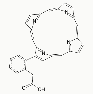 O=C(O)Cc1ccccc1C1=CC2=CC3=NC(=CC4=NC(=CC5=NC(=CC1=N2)C=C5)C=C4)C=C3